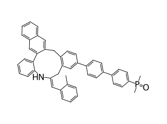 Cc1ccccc1/C=C1\Cc2cc(-c3ccc(-c4ccc(P(C)(C)=O)cc4)cc3)ccc2Cc2cc3ccccc3cc2-c2ccccc2N1